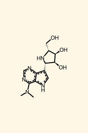 CN(C)c1ncnc2c([C@@H]3N[C@H](CO)[C@@H](O)[C@H]3O)c[nH]c12